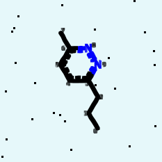 CCCc1ccc(C)nn1